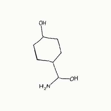 NC(O)C1CCC(O)CC1